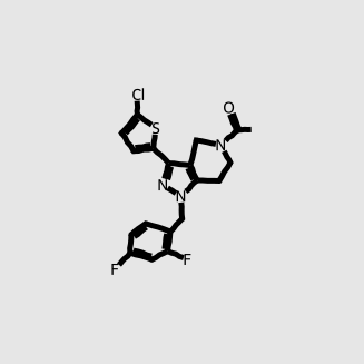 CC(=O)N1CCc2c(c(-c3ccc(Cl)s3)nn2Cc2ccc(F)cc2F)C1